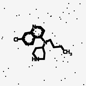 CCCCN(c1ccnc2cc(Cl)ccc12)C1CCNCC1